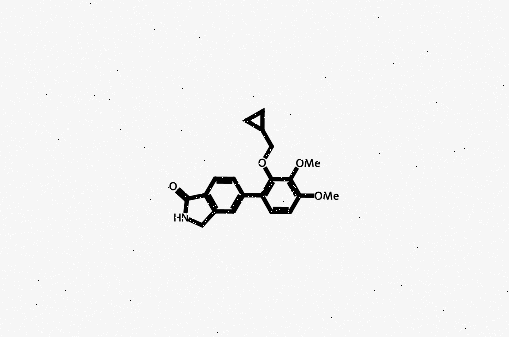 COc1ccc(-c2ccc3c(c2)CNC3=O)c(OCC2CC2)c1OC